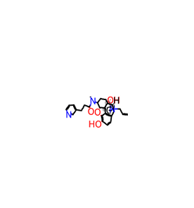 C=CCN1CC[C@]23c4c5ccc(O)c4OC2C(N(C)C(=O)CCc2cccnc2)CC[C@@]3(O)[C@H]1C5